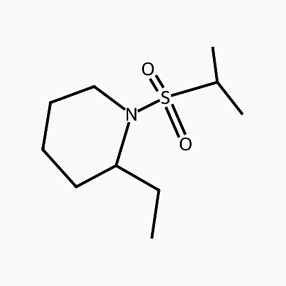 CCC1CCCCN1S(=O)(=O)C(C)C